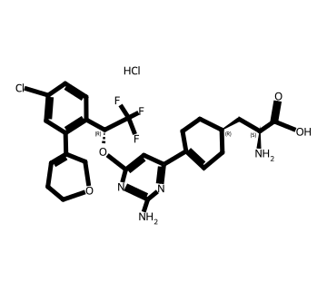 Cl.Nc1nc(O[C@H](c2ccc(Cl)cc2C2=CCCOC2)C(F)(F)F)cc(C2=CC[C@H](C[C@H](N)C(=O)O)CC2)n1